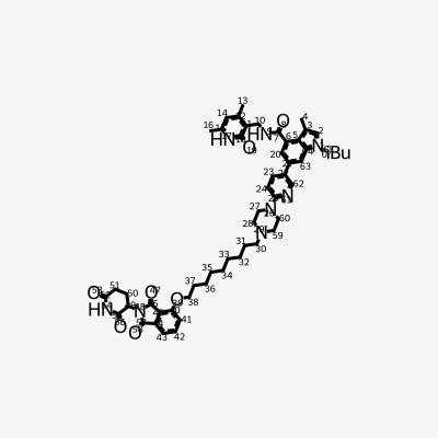 CC[C@H](C)n1cc(C)c2c(C(=O)NCc3c(C)cc(C)[nH]c3=O)cc(-c3ccc(N4CCN(CCCCCCCCCOc5cccc6c5C(=O)N(C5CCC(=O)NC5=O)C6=O)CC4)nc3)cc21